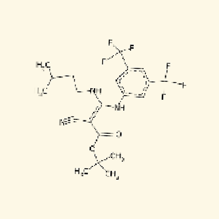 CC(C)CCNC(Nc1cc(C(F)(F)F)cc(C(F)(F)F)c1)=C(C#N)C(=O)OC(C)(C)C